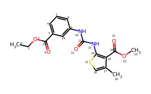 CCOC(=O)c1cccc(NC(=O)Nc2scc(C)c2C(=O)OC)c1